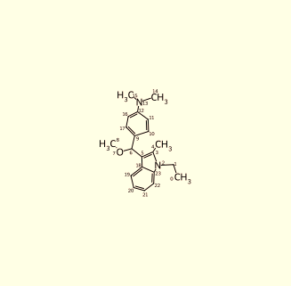 CCn1c(C)c(C(OC)c2ccc(N(C)C)cc2)c2ccccc21